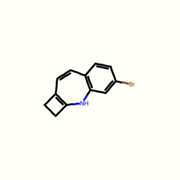 Brc1ccc2c(c1)NC1=C(C=C2)CC1